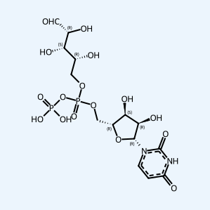 O=C[C@H](O)[C@@H](O)[C@H](O)COP(=O)(OC[C@H]1O[C@@H](n2ccc(=O)[nH]c2=O)[C@H](O)[C@@H]1O)OP(=O)(O)O